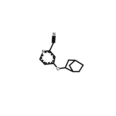 N#Cc1cc(OC2CC3CCC2C3)ccn1